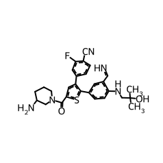 CC(C)(O)CNc1ccc(-c2sc(C(=O)N3CCCC(N)C3)cc2-c2ccc(C#N)c(F)c2)cc1C=N